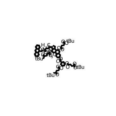 C[C@H](CCC(=O)OCc1c2ccccc2cc2ccccc12)[C@H]1CCC2C3C(C[C@H](OC(=O)CCC(=O)CC(C)(C)C)[C@@]21C)[C@@]1(C)CC[C@@H](OC(=O)c2cc(OC(=O)CCC(=O)CC(C)(C)C)cc(OC(=O)CCC(=O)OC(C)(C)C)c2)CC1C[C@H]3OC(=O)CCC(=O)OC(C)(C)C